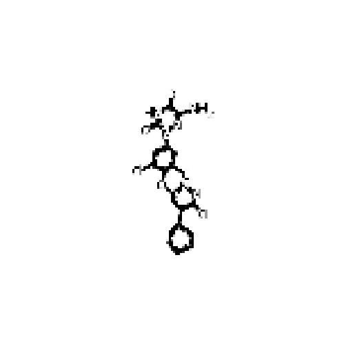 Nc1nn(-c2cc(Cl)c(Oc3cc(-c4ccccc4)c(Cl)nn3)c(Cl)c2)c(=O)[nH]c1=O